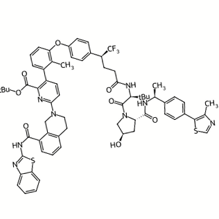 Cc1ncsc1-c1ccc([C@H](C)NC(=O)[C@@H]2C[C@@H](O)CN2C(=O)[C@@H](NC(=O)CC[C@@H](c2ccc(Oc3cccc(-c4ccc(N5CCc6cccc(C(=O)Nc7nc8ccccc8s7)c6C5)nc4C(=O)OC(C)(C)C)c3C)cc2)C(F)(F)F)C(C)(C)C)cc1